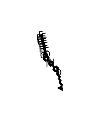 FC(F)(F)C(F)(F)C(F)(F)C(F)(F)C(F)(F)C(F)(F)C(F)(F)C1Oc2ccc(-c3ncc(-c4ccc(OCCCCCCC5CC5)cc4)cn3)cc2O1